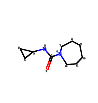 O=C([N]C1CC1)N1CCCCCC1